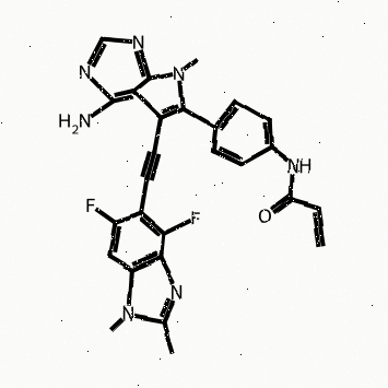 C=CC(=O)Nc1ccc(-c2c(C#Cc3c(F)cc4c(nc(C)n4C)c3F)c3c(N)ncnc3n2C)cc1